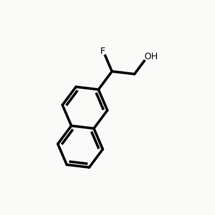 OCC(F)c1ccc2ccccc2c1